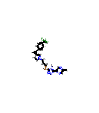 Cc1cnc(-c2nnc(SCCCN3CC[C@]4(CC4c4ccc(C(F)(F)F)cc4)C3)n2C)cn1